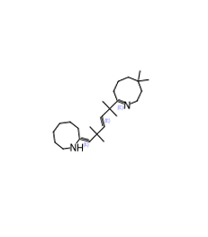 CC(C)(/C=C/C(C)(C)/C1=N/CCC(C)(C)CCC1)/C=C1\CCCCCCN1